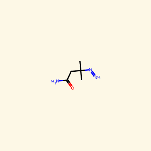 CC(C)(CC(N)=O)N=N